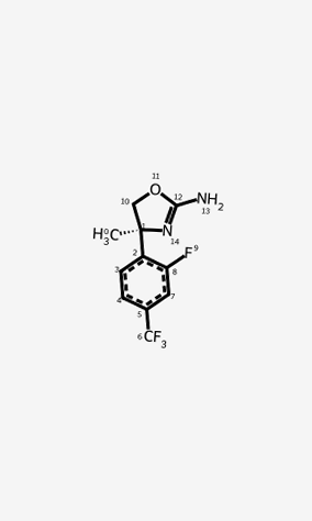 C[C@]1(c2ccc(C(F)(F)F)cc2F)COC(N)=N1